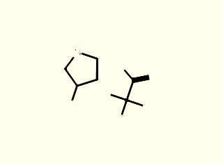 CC(C)C1CCNC1.O=C(O)C(F)(F)F